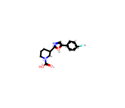 O=C(O)N1CCCC(c2ncc(-c3ccc(F)cc3)o2)C1